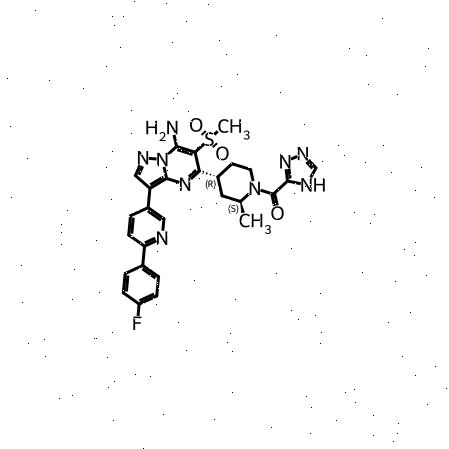 C[C@H]1C[C@H](c2nc3c(-c4ccc(-c5ccc(F)cc5)nc4)cnn3c(N)c2S(C)(=O)=O)CCN1C(=O)c1nnc[nH]1